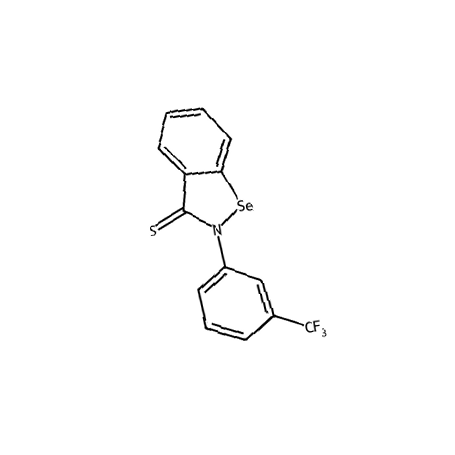 FC(F)(F)c1cccc(-n2[se]c3ccccc3c2=S)c1